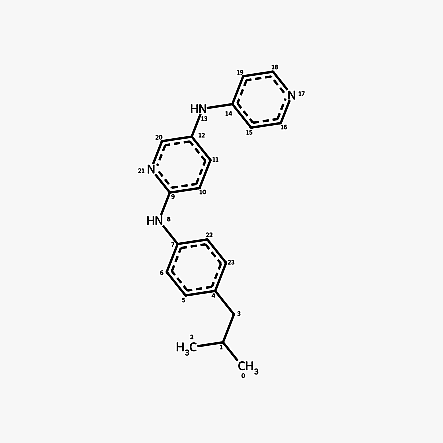 CC(C)Cc1ccc(Nc2ccc(Nc3ccncc3)cn2)cc1